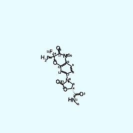 CNC(=O)[C@H]1CN(c2ccc3c(c2)OC(F)(P)C(=O)N3C)C(=O)O1